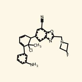 CC1(Cl)C(c2cccc(N)c2)=CC=CC1c1cc(C#N)c2oc(CN3CC(F)C3)nc2c1